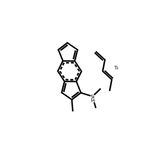 C=CC=CC.CC1=C([SiH](C)C)c2cc3c(cc2=C1)C=CC=3.[Ti]